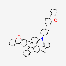 CC1(C)c2ccccc2-c2cc3c(cc21)-c1c(N(c2ccc(-c4ccc5c(c4)oc4ccccc45)cc2)c2ccc(-c4ccc5c(c4)oc4ccccc45)cc2)cccc1C3(C)C